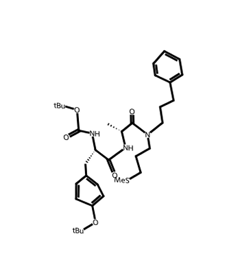 CSCCCN(CCCc1ccccc1)C(=O)[C@@H](C)NC(=O)[C@H](Cc1ccc(OC(C)(C)C)cc1)NC(=O)OC(C)(C)C